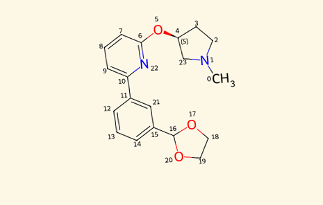 CN1CC[C@H](Oc2cccc(-c3cccc(C4OCCO4)c3)n2)C1